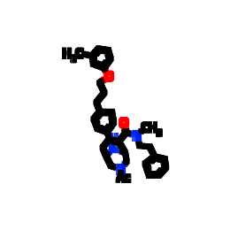 CC(=O)N1CC2CC(c3ccc(CCCOc4cccc(C)c4)cc3)=C(C(=O)N(C)CCc3ccccc3)C(C1)N2